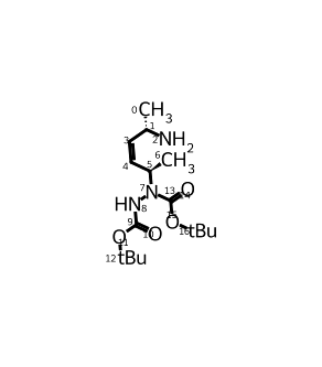 C[C@H](N)/C=C\[C@@H](C)N(NC(=O)OC(C)(C)C)C(=O)OC(C)(C)C